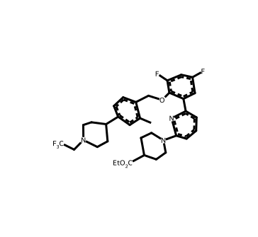 CCOC(=O)C1CCN(c2cccc(-c3cc(F)cc(F)c3OCc3ccc(C4CCN(CC(F)(F)F)CC4)cc3C)n2)CC1